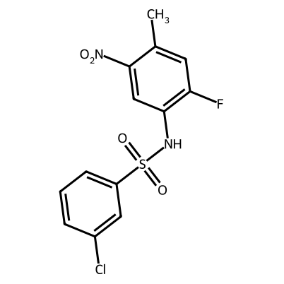 Cc1cc(F)c(NS(=O)(=O)c2cccc(Cl)c2)cc1[N+](=O)[O-]